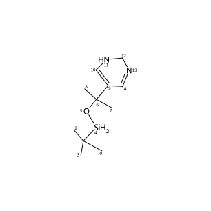 CC(C)(C)[SiH2]OC(C)(C)C1=CNCN=C1